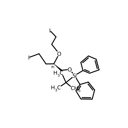 CC(C)(C)[Si](OC[C@@H](CCI)OCCI)(c1ccccc1)c1ccccc1